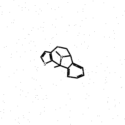 CN1C2CCc3ccsc3C1(C)c1ccccc12